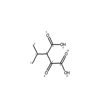 CC(C)C(C(=O)O)C(=O)C(=O)O